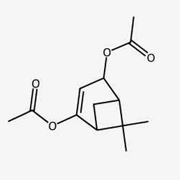 CC(=O)OC1=CC(OC(C)=O)C2CC1C2(C)C